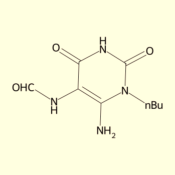 CCCCn1c(N)c(NC=O)c(=O)[nH]c1=O